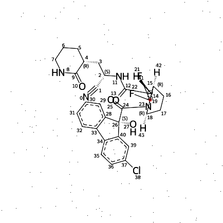 N#C[C@H](C[C@H]1CCCNC1=O)NC(=O)[C@@H]1[C@H]2CC[C@H](CC2(F)F)N1C(=O)[C@]1(O)c2ccccc2-c2ccc(Cl)cc21